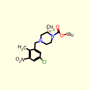 Cc1c(CN2CCN(C(=O)OC(C)(C)C)[C@@H](C)C2)cc(Cl)cc1[N+](=O)[O-]